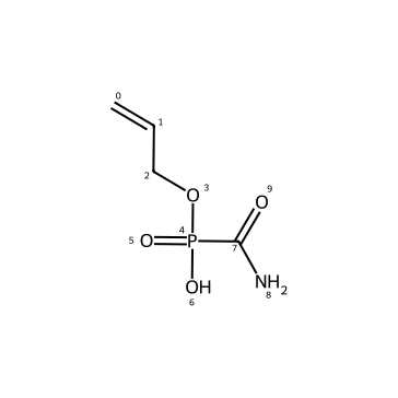 C=CCOP(=O)(O)C(N)=O